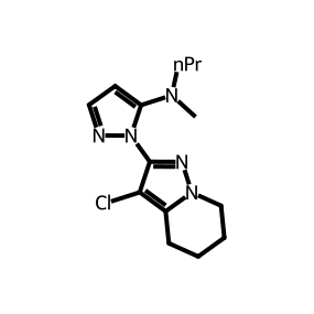 CCCN(C)c1ccnn1-c1nn2c(c1Cl)CCCC2